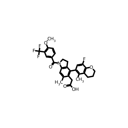 COc1ccc(C(=O)N2CCc3c2cc(C)c(CC(=O)O)c3-c2cc(F)c3c(c2C)CCCO3)cc1C(F)(F)F